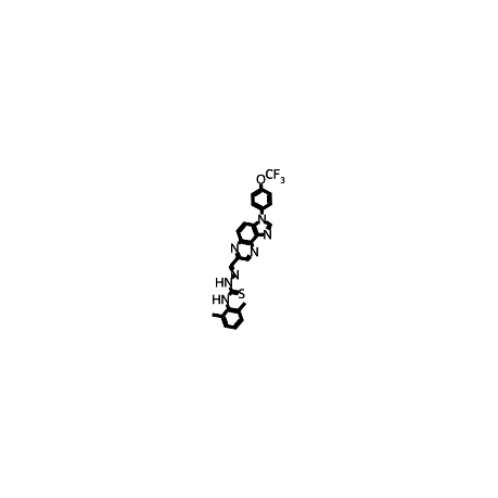 Cc1cccc(C)c1NC(=S)N/N=C/c1cnc2c(ccc3c2ncn3-c2ccc(OC(F)(F)F)cc2)n1